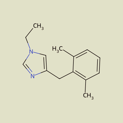 CCn1cnc(Cc2c(C)cccc2C)c1